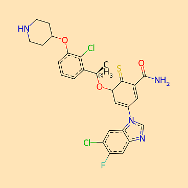 C[C@@H](OC1C=C(n2cnc3cc(F)c(Cl)cc32)C=C(C(N)=O)C1=S)c1cccc(OC2CCNCC2)c1Cl